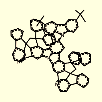 CC(C)(C)c1ccc2c(c1)c1cc(C(C)(C)C)cc3c4c5c6c7c(c(C#N)cc6n6c8cc(C#N)c9c(c8c(cc4n2c13)c56)C1(CC92c3ccccc3-c3ccccc32)c2ccccc2-c2ccccc21)C1(CC72c3ccccc3-c3ccccc32)c2ccccc2-c2ccccc21